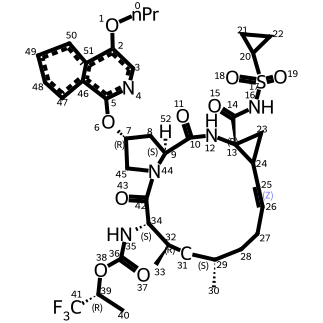 CCCOc1cnc(O[C@@H]2C[C@H]3C(=O)N[C@]4(C(=O)NS(=O)(=O)C5CC5)CC4/C=C\CC[C@H](C)C[C@@H](C)[C@H](NC(=O)O[C@H](C)C(F)(F)F)C(=O)N3C2)c2ccccc12